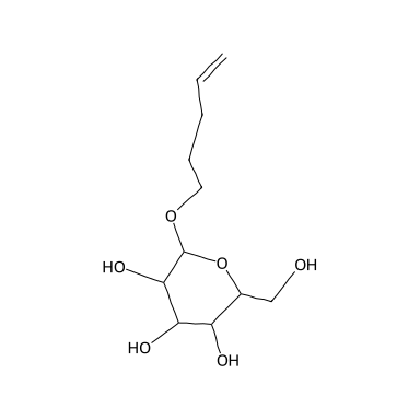 C=CCCCOC1OC(CO)C(O)C(O)C1O